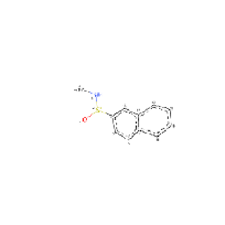 CCCN[S+]([O-])c1ccc2ccccc2c1